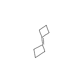 C1CC(=C2CCC2)C1